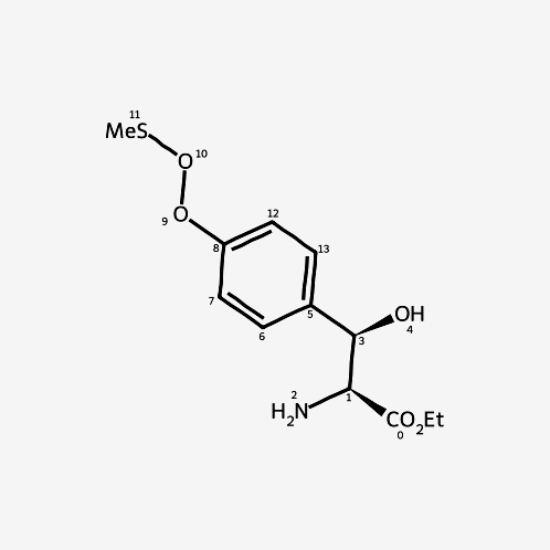 CCOC(=O)[C@@H](N)[C@H](O)c1ccc(OOSC)cc1